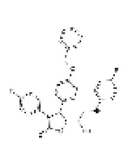 O=C1OC(C(O)CNc2ccc(F)cc2)C(c2ccc(OCc3ccccc3)cc2)N1c1ccc(F)cc1